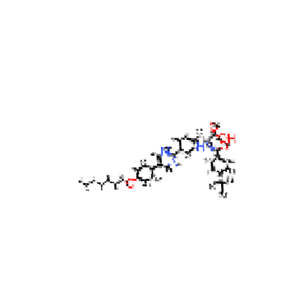 CCCCCCCOc1ccc(-c2cnc(-c3ccc(C[C@@H](NC(=O)c4ccc(C(C)(C)C)cc4)C(=O)O)cc3)nc2)cc1